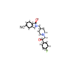 N#Cc1ccc2c(c1)CN(CC1CCN(CC(=O)c3ccc(F)cc3)CC1)C2=O